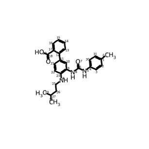 Cc1ccc(NC(=O)Nc2cc(-c3ccccc3C(=O)O)ccc2NCCC(C)C)cc1